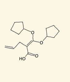 C=CCC(C(=O)O)=C(OC1CCCC1)OC1CCCC1